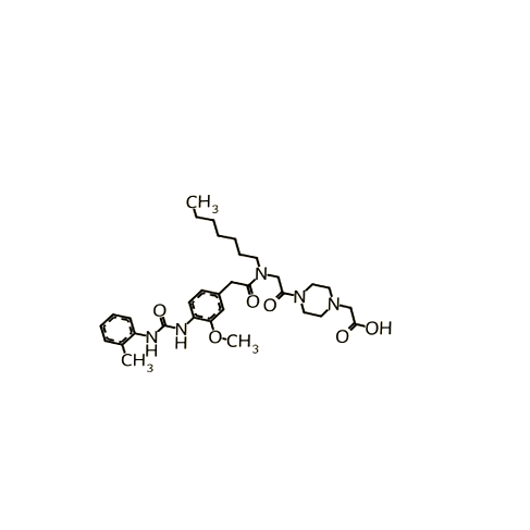 CCCCCCCN(CC(=O)N1CCN(CC(=O)O)CC1)C(=O)Cc1ccc(NC(=O)Nc2ccccc2C)c(OC)c1